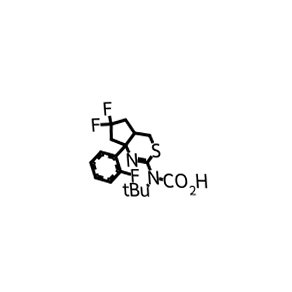 CC(C)(C)N(C(=O)O)C1=NC2(c3ccccc3F)CC(F)(F)CC2CS1